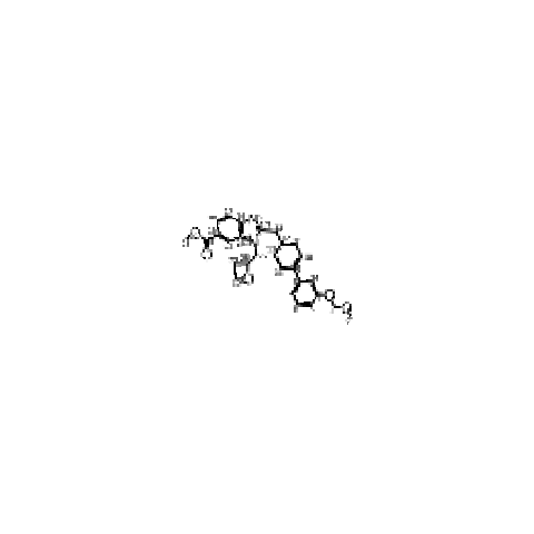 COCOc1cccc(C2=CCC(Cc3nc4ccc(C(=O)OC)cc4n3CC3CCO3)CC2)c1